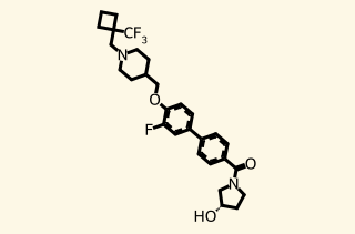 O=C(c1ccc(-c2ccc(OCC3CCN(CC4(C(F)(F)F)CCC4)CC3)c(F)c2)cc1)N1CC[C@H](O)C1